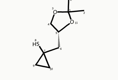 CC1(C)OC[C@@H](CC2(S)CC2)O1